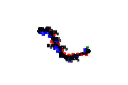 CC(=O)N[C@H](CCNC(=O)c1cc(NC(=O)c2cc(NC(=O)c3nc(NC(=O)c4nccn4C)cn3C)cn2C)cn1C)C(=O)Nc1cn(C)c(C(=O)Nc2cc(C(=O)Nc3cc(C(=O)Nc4cc(C(=O)NCCOCCOCCNC(=O)c5cccc(F)c5)n(C)c4)n(C)c3)n(C)c2)n1